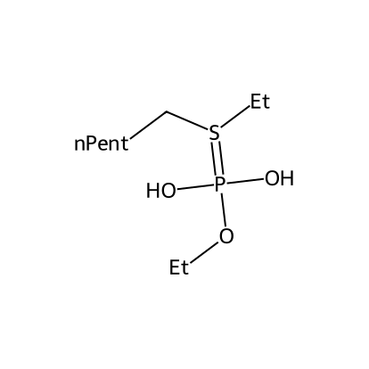 CCCCCCS(CC)=P(O)(O)OCC